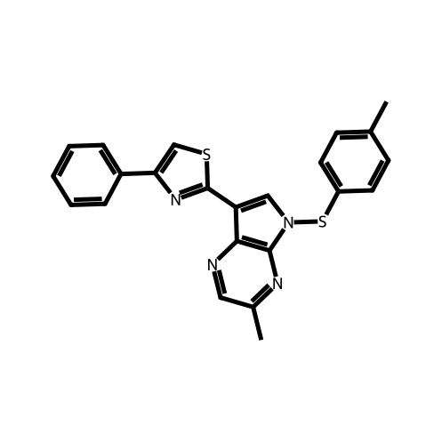 Cc1ccc(Sn2cc(-c3nc(-c4ccccc4)cs3)c3ncc(C)nc32)cc1